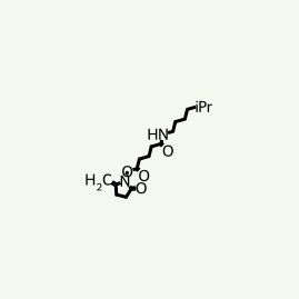 C=C1CCC(=O)N1OC(=O)CCCC(=O)NCCCCC(C)C